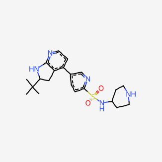 CC(C)(C)C1Cc2c(-c3ccc(S(=O)(=O)NC4CCNCC4)nc3)ccnc2N1